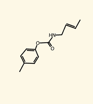 CC=CCNC(=O)Oc1ccc(C)cc1